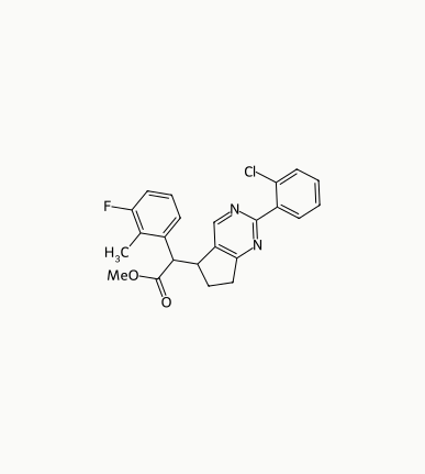 COC(=O)C(c1cccc(F)c1C)C1CCc2nc(-c3ccccc3Cl)ncc21